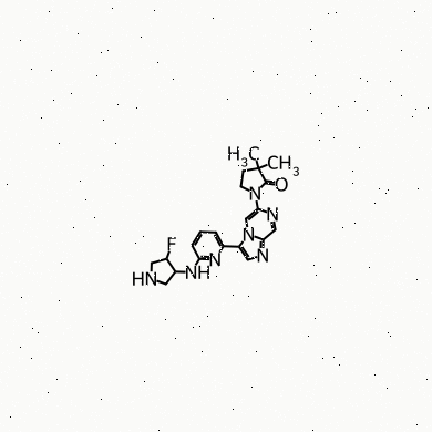 CC1(C)CCN(c2cn3c(-c4cccc(NC5CNCC5F)n4)cnc3cn2)C1=O